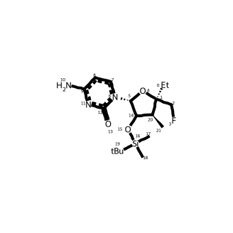 CC[C@@]1(CF)O[C@@H](n2ccc(N)nc2=O)C(O[Si](C)(C)C(C)(C)C)[C@@H]1C